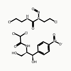 O=C(N[C@H](CO)[C@H](O)c1ccc([N+](=O)[O-])cc1)C(Cl)Cl.O=NN(CCCl)C(=O)NCCCl